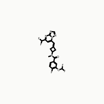 CN(C(=O)c1ccc(F)c(OC(F)F)c1)C1CC(=Cc2cc(C(F)F)nc3ncnn23)C1